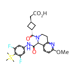 COc1ccc2c(n1)CCN(C(=O)[C@H]1C[C@H](CC(=O)O)C1)C2C(=O)Nc1cc(F)c(S(C)(C)C)c(F)c1